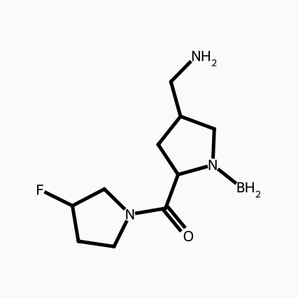 BN1CC(CN)CC1C(=O)N1CCC(F)C1